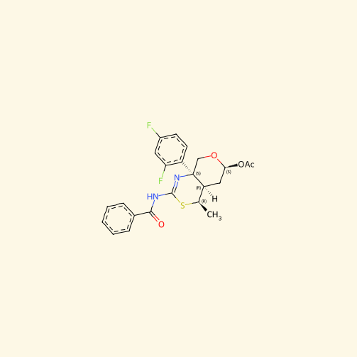 CC(=O)O[C@H]1C[C@H]2[C@@H](C)SC(NC(=O)c3ccccc3)=N[C@@]2(c2ccc(F)cc2F)CO1